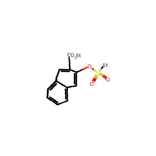 CCOC(=O)c1cc2ccccc2cc1OS(=O)(=O)CC